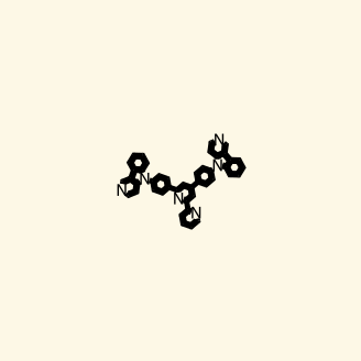 c1ccc(-c2cc(-c3ccc(-n4c5ccccc5c5cnccc54)cc3)cc(-c3ccc(-n4c5ccccc5c5cnccc54)cc3)n2)nc1